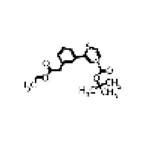 CCOC(=O)Cc1cccc(C2=CN(C(=O)OC(C)(C)C)C=CS2)c1